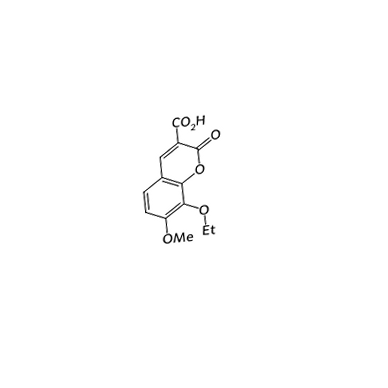 CCOc1c(OC)ccc2cc(C(=O)O)c(=O)oc12